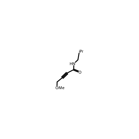 COCC#CC(=O)NCC(C)C